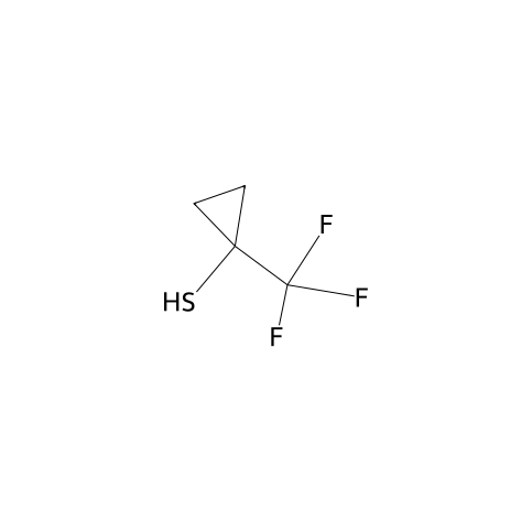 FC(F)(F)C1(S)CC1